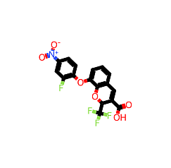 O=C(O)C1=Cc2cccc(Oc3ccc([N+](=O)[O-])cc3F)c2OC1C(F)(F)F